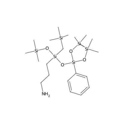 C[Si](C)(C)C[Si](CCCN)(O[Si](C)(C)C)O[Si](O[Si](C)(C)C)(O[Si](C)(C)C)c1ccccc1